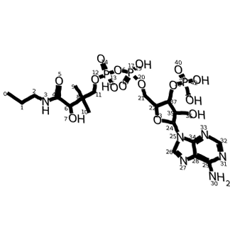 CCCNC(=O)C(O)C(C)(C)COP(=O)(O)OP(=O)(O)OCC1OC(n2cnc3c(N)ncnc32)C(O)C1OP(=O)(O)O